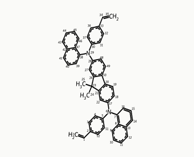 C=Cc1ccc(N(C2=c3ccccc3=C=C=C2)c2ccc3c(c2)C(C)(C)c2cc(N(c4ccc(C=C)cc4)c4cccc5ccccc45)ccc2-3)cc1